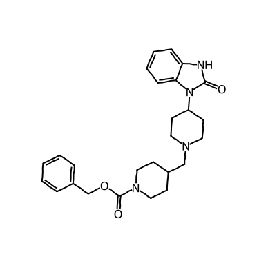 O=C(OCc1ccccc1)N1CCC(CN2CCC(n3c(=O)[nH]c4ccccc43)CC2)CC1